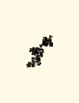 COC(=O)C(C)(CN1CC(Oc2ccc(C3CC3B3O[C@@H]4C[C@@H]5C[C@@H](C5(C)C)[C@]4(C)O3)c(OC(=O)OC(C)(C)C)c2C(=O)OC(C)(C)C)C1)NC(=O)OC(C)(C)C